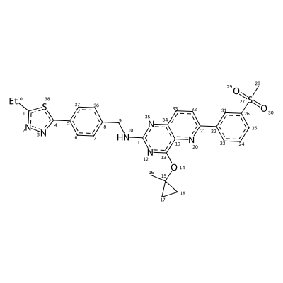 CCc1nnc(-c2ccc(CNc3nc(OC4(C)CC4)c4nc(-c5cccc(S(C)(=O)=O)c5)ccc4n3)cc2)s1